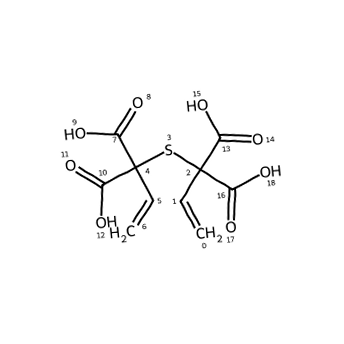 C=CC(SC(C=C)(C(=O)O)C(=O)O)(C(=O)O)C(=O)O